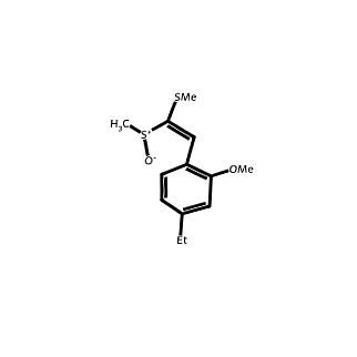 CCc1ccc(C=C(SC)[S+](C)[O-])c(OC)c1